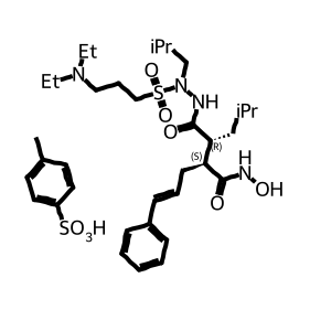 CCN(CC)CCCS(=O)(=O)N(CC(C)C)NC(=O)[C@H](CC(C)C)[C@H](CC=Cc1ccccc1)C(=O)NO.Cc1ccc(S(=O)(=O)O)cc1